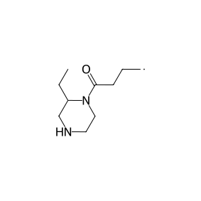 [CH2]CCC(=O)N1CCNCC1CC